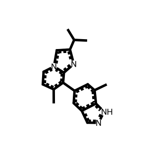 Cc1ccn2cc(C(C)C)nc2c1-c1cc(C)c2[nH]ncc2c1